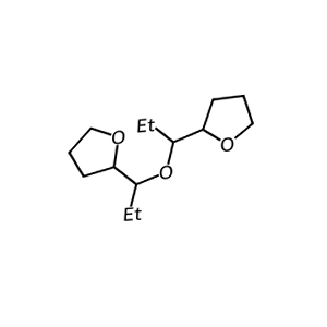 CCC(OC(CC)C1CCCO1)C1CCCO1